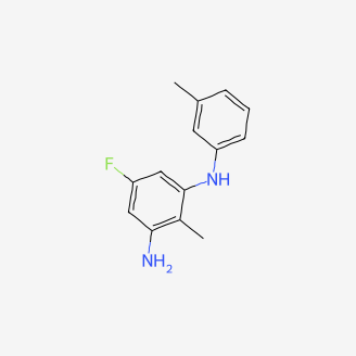 Cc1cccc(Nc2cc(F)cc(N)c2C)c1